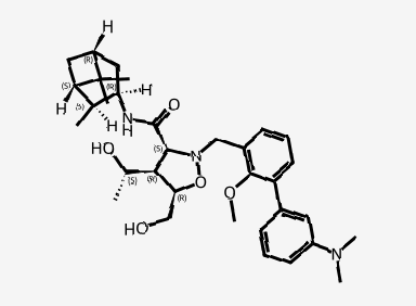 COc1c(CN2O[C@@H](CO)[C@@H]([C@H](C)O)[C@H]2C(=O)N[C@@H]2C[C@H]3C[C@@H]([C@@H]2C)C3(C)C)cccc1-c1cccc(N(C)C)c1